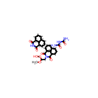 COC(CN1C(=O)c2cccc3cccc(c23)C1=O)OO.NC(=O)NC(N)=O.O=C1NC(=O)c2cccc3cccc1c23